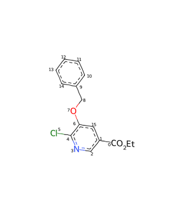 CCOC(=O)c1cnc(Cl)c(OCc2ccccc2)c1